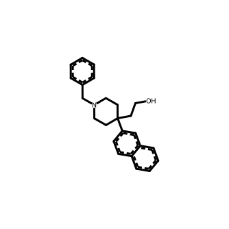 OCCC1(c2ccc3ccccc3c2)CCN(Cc2ccccc2)CC1